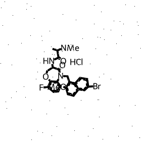 CNC(C)C(=O)NC1COc2c(F)cccc2N(Cc2c(OC)ccc3cc(Br)ccc23)C1=O.Cl